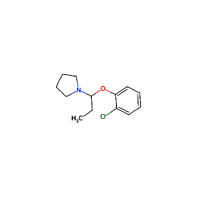 CCC(Oc1ccccc1Cl)N1CCCC1